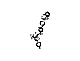 CC1CCN(c2nc(C(F)(F)F)c(C(=O)Nc3ccc(N4CCN(C(=O)Nc5ccccc5F)CC4)nc3)o2)CC1